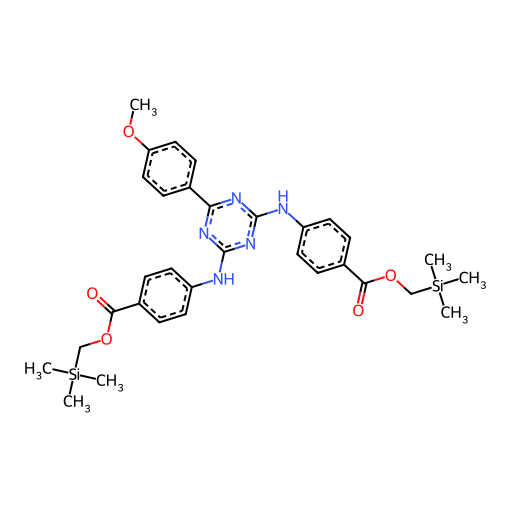 COc1ccc(-c2nc(Nc3ccc(C(=O)OC[Si](C)(C)C)cc3)nc(Nc3ccc(C(=O)OC[Si](C)(C)C)cc3)n2)cc1